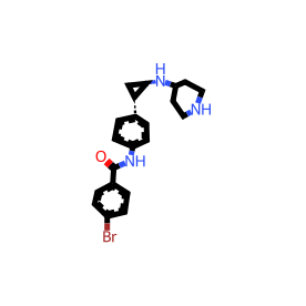 O=C(Nc1ccc([C@@H]2C[C@H]2NC2CCNCC2)cc1)c1ccc(Br)cc1